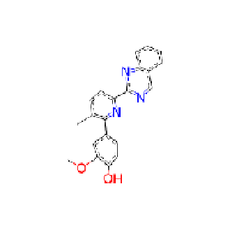 COc1cc(-c2nc(-c3ncc4ccccc4n3)ccc2C)ccc1O